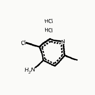 Cc1cc(N)c(Cl)cn1.Cl.Cl